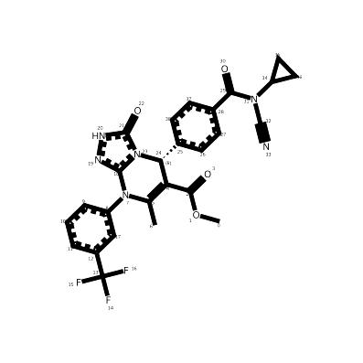 COC(=O)C1=C(C)N(c2cccc(C(F)(F)F)c2)c2n[nH]c(=O)n2[C@@H]1c1ccc(C(=O)N(C#N)C2CC2)cc1